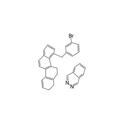 Brc1cccc(Cc2cccc3ccc4c(c23)CCC2=C4C=CCC2)c1.c1ccc2cnncc2c1